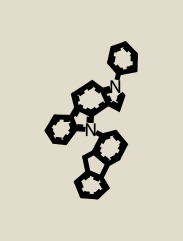 c1ccc(-n2ccc3c2ccc2c4ccccc4n(-c4cccc5c4Cc4ccccc4-5)c23)cc1